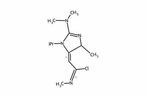 C/N=C(Cl)\C=C1/C(C)N=C(N(C)C)N1C(C)C